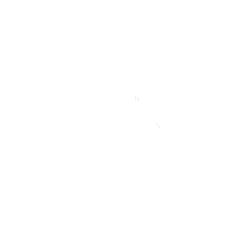 CCC(O)=CC(=O)c1ncc(C)nc1Cl